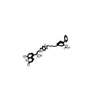 O=C(O)Nc1cc(CCCCc2nc3ccc(CNC[C@@H](O)c4ccc(O)c5[nH]c(=O)ccc45)cc3o2)ccc1-c1ccccc1